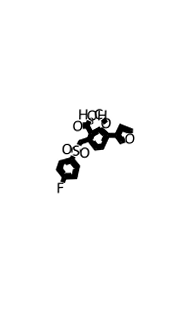 COc1c(-c2ccoc2)ccc(CS(=O)(=O)c2ccc(F)cc2)c1C(=O)O